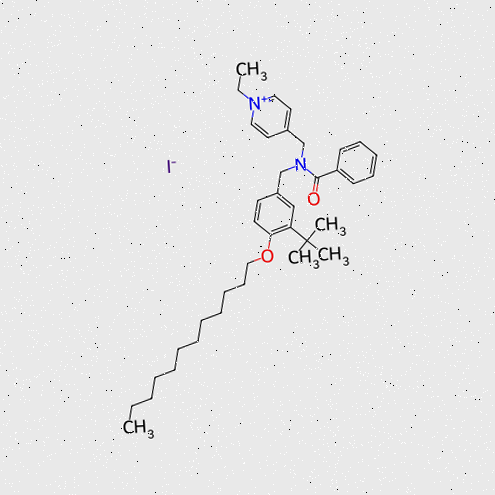 CCCCCCCCCCCCOc1ccc(CN(Cc2cc[n+](CC)cc2)C(=O)c2ccccc2)cc1C(C)(C)C.[I-]